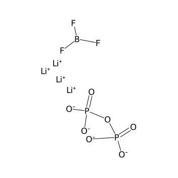 FB(F)F.O=P([O-])([O-])OP(=O)([O-])[O-].[Li+].[Li+].[Li+].[Li+]